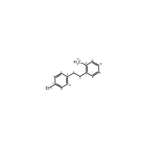 CCc1ccc(CCc2[c]cccc2C)cc1